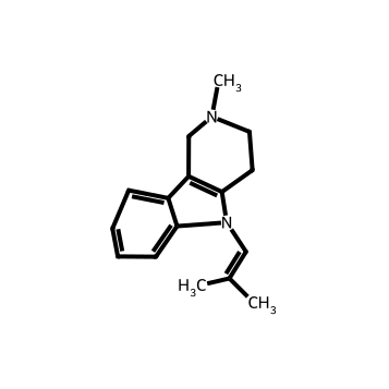 CC(C)=Cn1c2c(c3ccccc31)CN(C)CC2